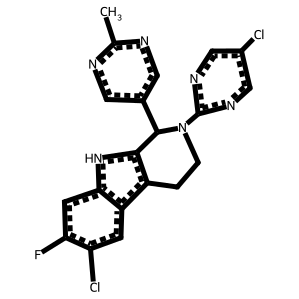 Cc1ncc(C2c3[nH]c4cc(F)c(Cl)cc4c3CCN2c2ncc(Cl)cn2)cn1